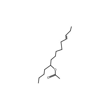 CCC=CCCCCCC(CCCC)OC(C)=O